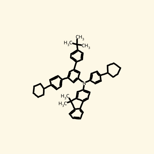 CC(C)(C)c1ccc(-c2cc(-c3ccc(C4CCCCC4)cc3)cc(N(c3ccc(C4CCCCC4)cc3)c3ccc4c(c3)C(C)(C)c3ccccc3-4)c2)cc1